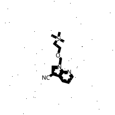 C[Si](C)(C)CCOCn1cc(C#N)c2cccnc21